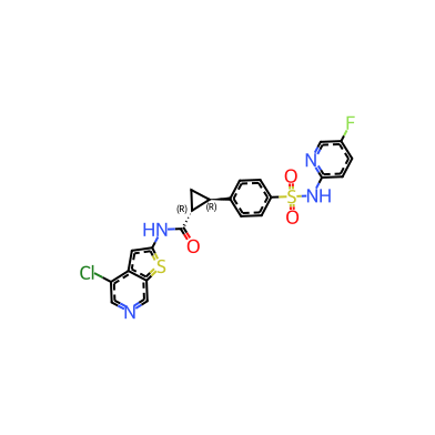 O=C(Nc1cc2c(Cl)cncc2s1)[C@@H]1C[C@H]1c1ccc(S(=O)(=O)Nc2ccc(F)cn2)cc1